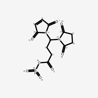 O=C(CCC(N1C(=O)C=CC1=O)N1C(=O)CCC1=O)O[SH](=O)=O